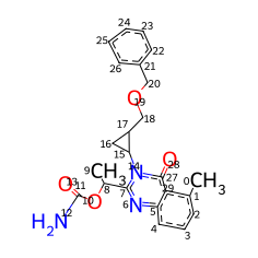 Cc1cccc2nc(C(C)OC(N)=O)n(C3CC3COCc3ccccc3)c(=O)c12